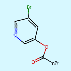 CCCC(=O)Oc1cncc(Br)c1